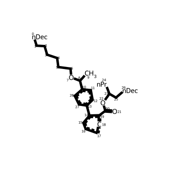 CCCCCCCCCCCCCCCCOC(C)c1ccc(-c2ccccc2C(=O)OC(CCC)CCCCCCCCCCC)cc1